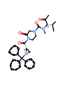 CC(=O)[C@H](C(C)C)N(C)C(=O)N1CCN(C(=O)[C@@H]2CN2C(c2ccccc2)(c2ccccc2)c2ccccc2)C(=O)C1